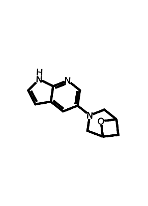 c1cc2cc(N3CC4CC(C3)O4)cnc2[nH]1